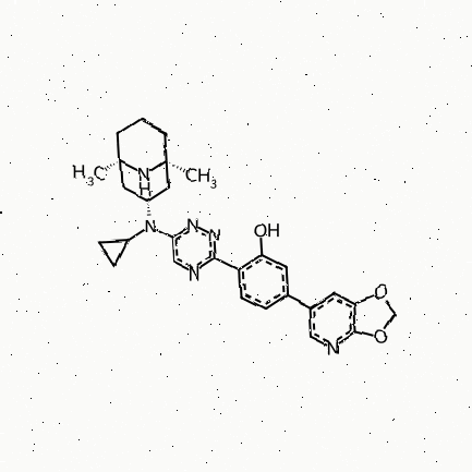 C[C@]12CCC[C@](C)(C[C@@H](N(c3cnc(-c4ccc(-c5cnc6c(c5)OCO6)cc4O)nn3)C3CC3)C1)N2